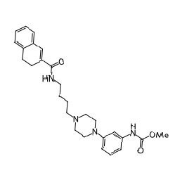 COC(=O)Nc1cccc(N2CCN(CCCCNC(=O)C3=Cc4ccccc4CC3)CC2)c1